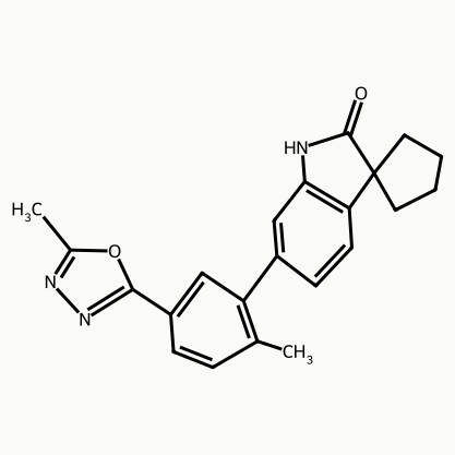 Cc1nnc(-c2ccc(C)c(-c3ccc4c(c3)NC(=O)C43CCCC3)c2)o1